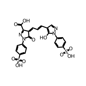 O=C(O)C1=NN(c2ccc(S(=O)(=O)O)cc2)C(=O)C1=CC=Cc1cnn(-c2ccc(S(=O)(=O)O)cc2)c1O